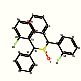 [O-][S+](C(c1ccccc1)c1ccccc1F)C(c1ccccc1)c1ccccc1F